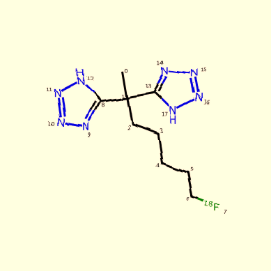 CC(CCCCC[18F])(c1nnn[nH]1)c1nnn[nH]1